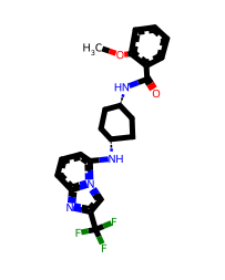 COc1ccccc1C(=O)N[C@H]1CC[C@@H](Nc2cccc3nc(C(F)(F)F)cn23)CC1